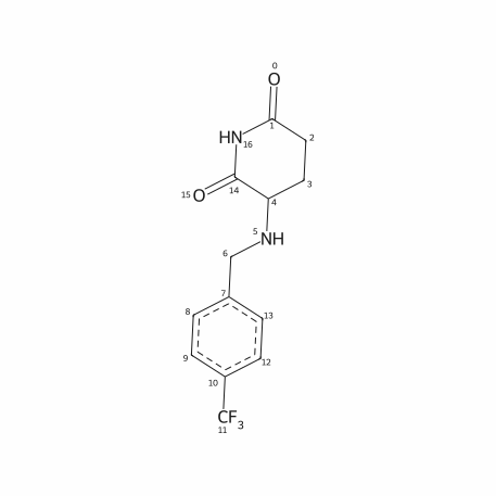 O=C1CCC(NCc2ccc(C(F)(F)F)cc2)C(=O)N1